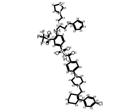 O=C(NS(=O)(=O)c1ccc(N[C@H](CCN2CCSC2)CSc2ccccc2)c(S(=O)(=O)C(F)(F)F)c1)c1ccc(N2CCN(CC3=C(c4ccc(Cl)cc4)CCCC3)CC2)cc1